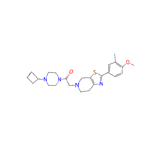 COc1ccc(-c2nc3c(s2)CN(CC(=O)N2CCN(C4CCC4)CC2)CC3)cc1C